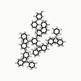 Cc1ccc(-c2cccc(-c3nc(-c4cc(-n5c6ccccc6c6ccc(-c7ccc8c(c7)c7ccccc7n8-c7ccccc7)cc65)cc(-n5c6ccccc6c6ccc(-c7ccc8c(c7)c7ccccc7n8-c7ccccc7)cc65)c4)nc4ccc5ccccc5c34)c2)cc1